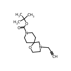 C#CCN1CCOC2(CCN(C(=O)OC(C)(C)C)CC2)C1